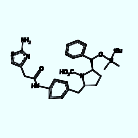 CC(C)(C)[Si](C)(C)OC(c1ccccc1)[C@H]1CCC(Cc2ccc(NC(=O)Cc3csc(N)n3)cc2)N1C(=O)O